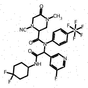 CN1CC(C(=O)N(c2ccc(S(F)(F)(F)(F)F)cc2)C(C(=O)NC2CCC(F)(F)CC2)c2cncc(F)c2)N(C#N)CC1=O